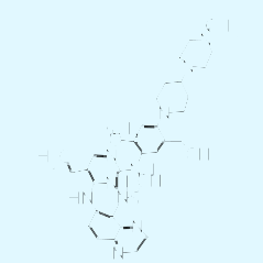 C=Cc1cnc(Nc2cc(CC)c(N3CCC(N4CCN(C)CC4)CC3)cc2OC)nc1Nc1ccc2nccnc2c1NSC